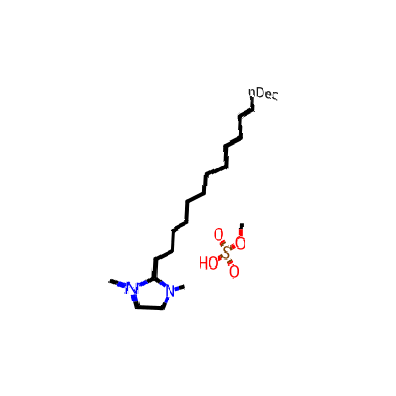 CCCCCCCCCCCCCCCCCCCCCCC1N(C)CCN1C.COS(=O)(=O)O